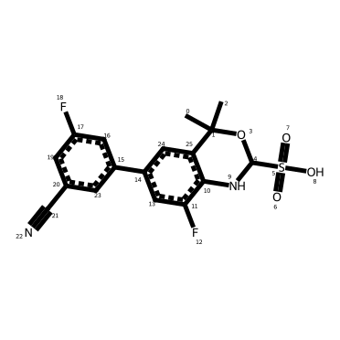 CC1(C)OC(S(=O)(=O)O)Nc2c(F)cc(-c3cc(F)cc(C#N)c3)cc21